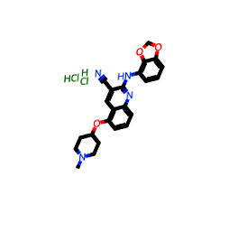 CN1CCC(Oc2cccc3nc(Nc4cccc5c4OCO5)c(C#N)cc23)CC1.Cl.Cl